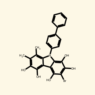 Cc1c(O)c(O)c2c3c(O)c(Br)c(O)c(O)c3n(-c3ccc(-c4ccccc4)cc3)c2c1C